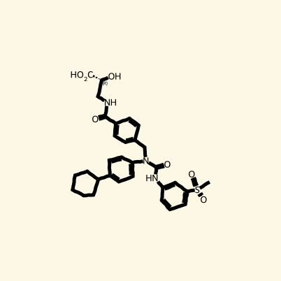 CS(=O)(=O)c1cccc(NC(=O)N(Cc2ccc(C(=O)NC[C@@H](O)C(=O)O)cc2)c2ccc(C3CCCCC3)cc2)c1